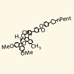 CCCCCC1CCC(c2ccc(OC(=O)c3ccc(-c4ccc5c(c4)-c4c(c6c(c7cc(C)ccc47)OC(c4ccc(OC)cc4)(c4ccc(OC)cc4)C=C6)C5(C)C)cc3)cc2)CC1